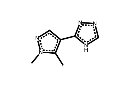 Cc1c(-c2nnc[nH]2)cnn1C